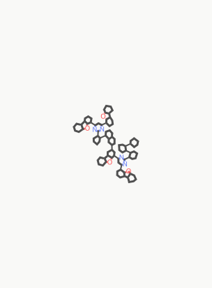 c1ccc(-c2ccccc2-c2ccccc2-c2nc(-c3cccc4c3oc3ccccc34)cc(-c3cc(-c4ccc5cccc(-c6ccccc6-c6nc(-c7cccc8c7oc7ccccc78)cc(-c7cccc8c7oc7ccccc78)n6)c5c4)cc4c3oc3ccccc34)n2)cc1